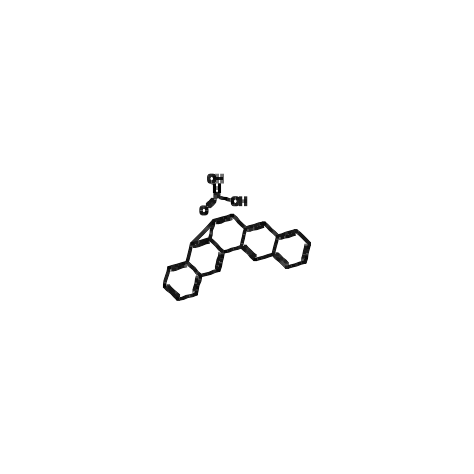 O=[PH](O)O.c1ccc2cc3c(cc4c5c-4c4ccccc4cc53)cc2c1